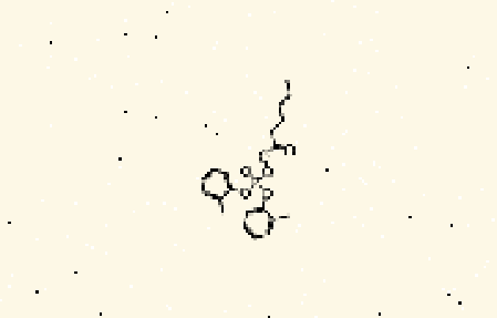 CCCCCC(=O)OOP(=O)(Oc1ccccc1C)Oc1ccccc1C